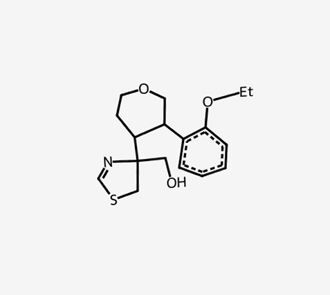 CCOc1ccccc1C1COCCC1C1(CO)CSC=N1